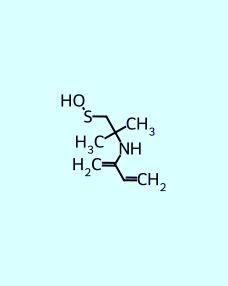 C=CC(=C)NC(C)(C)CSO